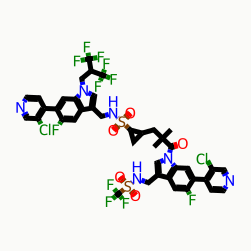 CC(C)(CC1CC1S(=O)(=O)NCc1cn(CC(C(F)(F)F)C(F)(F)F)c2cc(-c3ccncc3Cl)c(F)cc12)C(=O)n1cc(CNS(=O)(=O)C(F)(F)F)c2cc(F)c(-c3ccncc3Cl)cc21